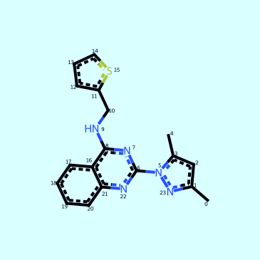 Cc1cc(C)n(-c2nc(NCc3cccs3)c3ccccc3n2)n1